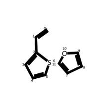 C=Cc1cccs1.c1ccoc1